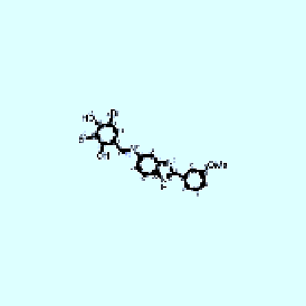 COc1cccc(-c2nc3cc(/N=C/c4cc(Br)c(O)c(Br)c4O)ccc3[nH]2)c1